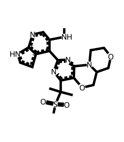 CNc1cnc2[nH]ccc2c1-c1nc2c(c(C(C)(C)S(C)(=O)=O)n1)OCC1COCCN21